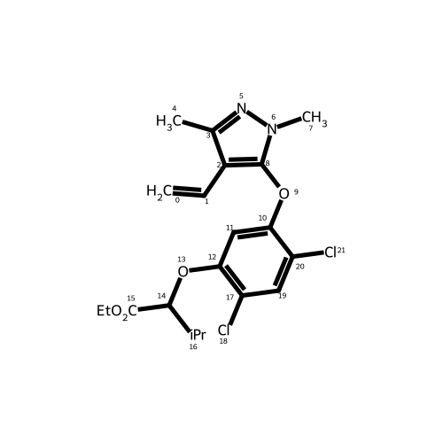 C=Cc1c(C)nn(C)c1Oc1cc(OC(C(=O)OCC)C(C)C)c(Cl)cc1Cl